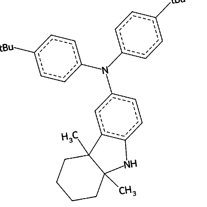 CC(C)(C)c1ccc(N(c2ccc(C(C)(C)C)cc2)c2ccc3c(c2)C2(C)CCCCC2(C)N3)cc1